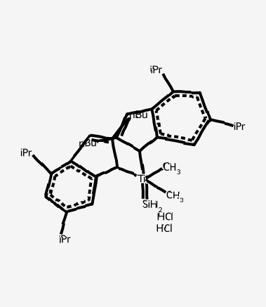 CCCCC1=Cc2c(C(C)C)cc(C(C)C)cc2[CH]1[Ti]([CH3])([CH3])(=[SiH2])[CH]1C(CCCC)=Cc2c(C(C)C)cc(C(C)C)cc21.Cl.Cl